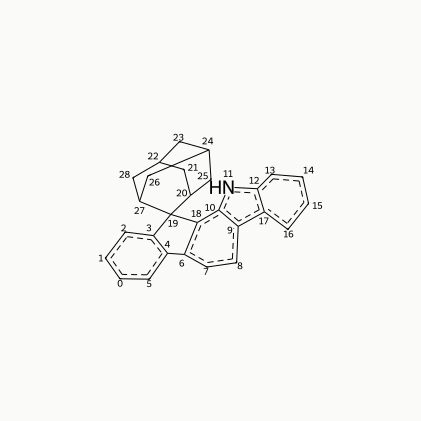 c1ccc2c(c1)-c1ccc3c([nH]c4ccccc43)c1C21C2CC3CC(C2)CC1C3